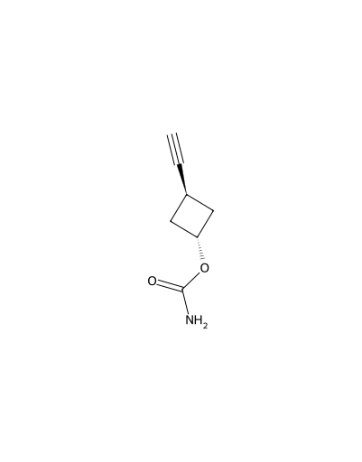 C#C[C@H]1C[C@H](OC(N)=O)C1